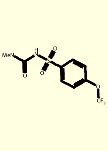 CNC(=O)NS(=O)(=O)c1ccc(OC(F)(F)F)cc1